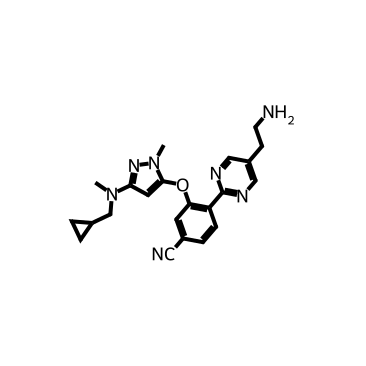 CN(CC1CC1)c1cc(Oc2cc(C#N)ccc2-c2ncc(CCN)cn2)n(C)n1